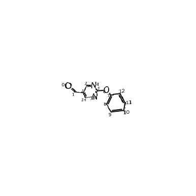 O=Cc1cnc(Oc2ccccc2)nc1